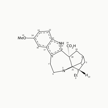 CC[C@H]1CC2CN3CCc4c([nH]c5ccc(OC)cc45)[C@@](C(=O)O)(C2)C13